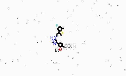 CCOc1cc(-c2cc(NCCc3c(C)sc4c(C)cc(F)cc34)ncn2)ccc1CC(=O)O